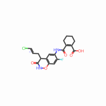 O=C(O)C1=C(C(=O)Nc2cc3c(cc2F)ONC(=O)C3C/C=C/Cl)CCCC1